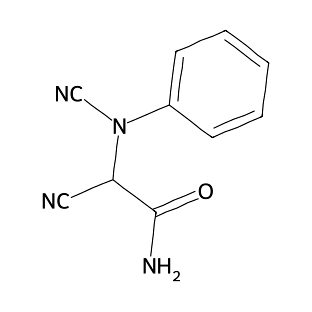 N#CC(C(N)=O)N(C#N)c1ccccc1